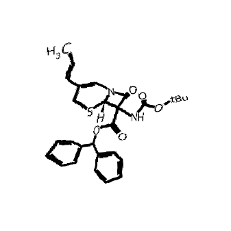 CC=CC1=CN2C(=O)C(NC(=O)OC(C)(C)C)(C(=O)OC(c3ccccc3)c3ccccc3)[C@@H]2SC1